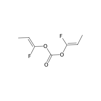 CC=C(F)OC(=O)OC(F)=CC